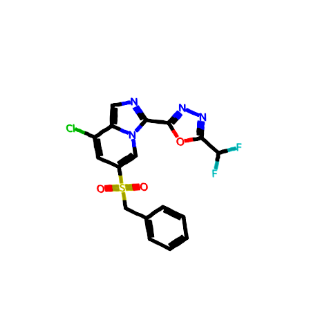 O=S(=O)(Cc1ccccc1)c1cc(Cl)c2cnc(-c3nnc(C(F)F)o3)n2c1